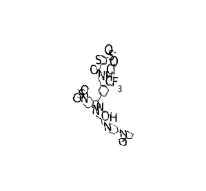 CS(=O)(=O)c1csc(C(=O)NCc2cc(-c3nn(CC(O)CN4CCC(N5CCCC5=O)CC4)c4c3CN(S(C)(=O)=O)CC4)ccc2C(F)(F)F)c1Cl